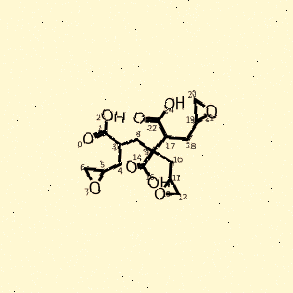 O=C(O)C(CC1CO1)CC(CC1CO1)(C(=O)O)C(CC1CO1)C(=O)O